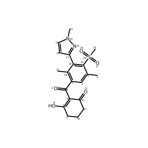 Cc1cc(C(=O)C2=C(O)CCCC2=O)c(C)c(-c2ccn(C)n2)c1S(C)(=O)=O